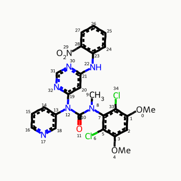 COc1cc(OC)c(Cl)c(N(C)C(=O)N(c2cccnc2)c2cc(Nc3ccccc3[N+](=O)[O-])ncn2)c1Cl